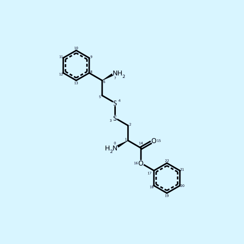 N[C@@H](CSSC[C@H](N)c1ccccc1)C(=O)Oc1ccccc1